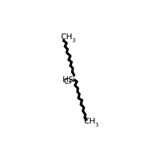 CCCCCCCCCCCCC[SiH]([Cr])CCCCCCCCCCCCC